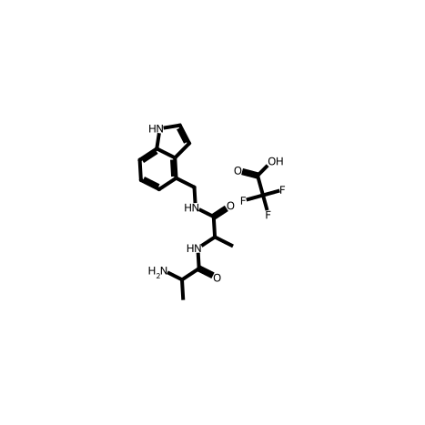 CC(N)C(=O)NC(C)C(=O)NCc1cccc2[nH]ccc12.O=C(O)C(F)(F)F